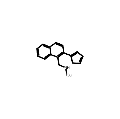 CC(C)(C)NCc1c(C2=CC=CC2)ccc2ccccc12